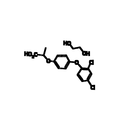 CC(Oc1ccc(Oc2ccc(Cl)cc2Cl)cc1)C(=O)O.OCCO